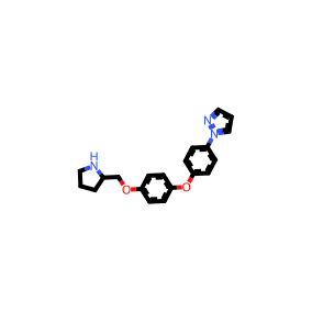 c1cnn(-c2ccc(Oc3ccc(OCC4CCCN4)cc3)cc2)c1